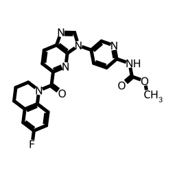 COC(=O)Nc1ccc(-n2cnc3ccc(C(=O)N4CCCc5cc(F)ccc54)nc32)cn1